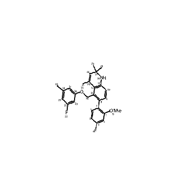 COc1cc(F)ccc1-c1ccc2c(c1COc1cc(C)cc(F)c1)C(C)=CC(C)(C)N2